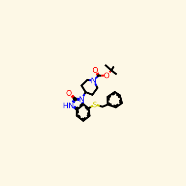 CC(C)(C)OC(=O)N1CCC(n2c(=O)[nH]c3cccc(SCc4ccccc4)c32)CC1